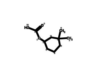 CC1(C)CCCC(OC(=O)O)C1